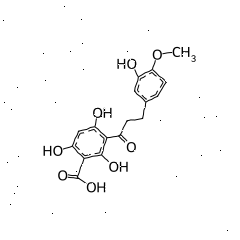 COc1ccc(CCC(=O)c2c(O)cc(O)c(C(=O)O)c2O)cc1O